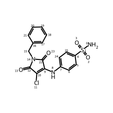 NS(=O)(=O)c1ccc(NC2=C(Cl)C(=O)N(Cc3ccccc3)C2=O)cc1